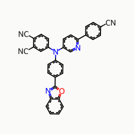 N#Cc1ccc(-c2ccc(N(c3ccc(-c4nc5ccccc5o4)cc3)c3ccc(C#N)c(C#N)c3)cn2)cc1